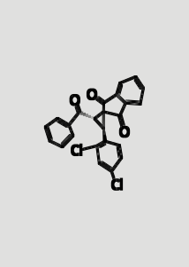 O=C(c1ccccc1)[C@H]1[C@H](c2ccc(Cl)cc2Cl)C12C(=O)c1ccccc1C2=O